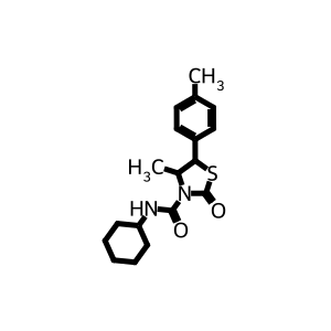 Cc1ccc(C2SC(=O)N(C(=O)NC3CCCCC3)C2C)cc1